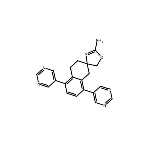 NC1=NC2(CCc3c(-c4cncnc4)ccc(-c4cncnc4)c3C2)CO1